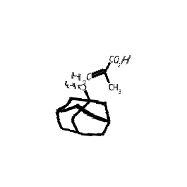 C=C(C)C(=O)O.OC12CC3CC(CC(C3)C1)C2